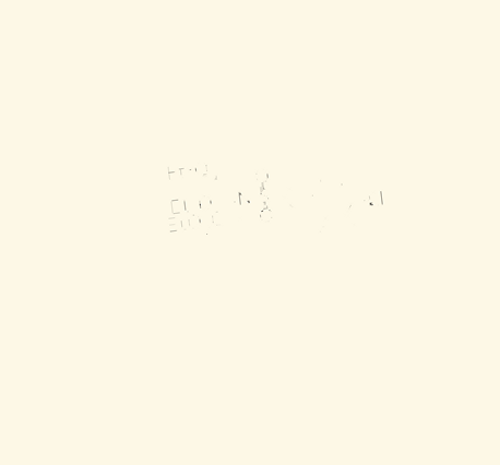 CCOC(=O)CN(CC(OCC)OCC)S(=O)(=O)/C=C/c1ccc(Cl)cc1